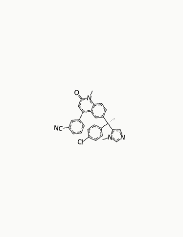 Cn1cncc1[C@@](C)(c1ccc(Cl)cc1)c1ccc2c(c1)c(-c1cccc(C#N)c1)cc(=O)n2C